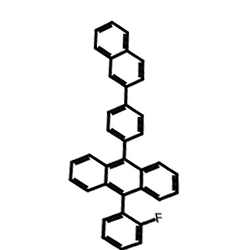 Fc1ccccc1-c1c2ccccc2c(-c2ccc(-c3ccc4ccccc4c3)cc2)c2ccccc12